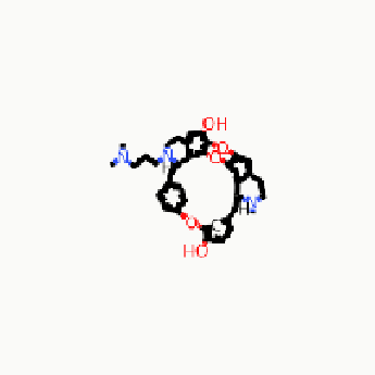 CN(C)CCCN1CCc2cc(O)c3c4c2[C@@H]1Cc1ccc(cc1)Oc1cc(ccc1O)C[C@H]1c2cc(c(cc2CCN1C)O3)O4